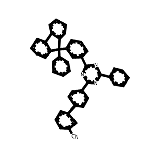 N#Cc1cccc(-c2ccc(-c3nc(-c4ccccc4)nc(-c4cccc(C5(c6ccccc6)c6ccccc6-c6ccccc65)c4)n3)cc2)c1